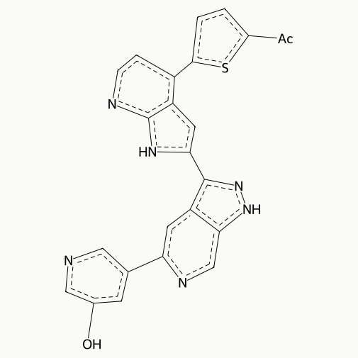 CC(=O)c1ccc(-c2ccnc3[nH]c(-c4n[nH]c5cnc(-c6cncc(O)c6)cc45)cc23)s1